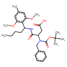 CCCCC(NC(=O)C(CC(=O)O)N(Cc1ccccc1)C(=O)OC(C)(C)C)c1c(OC)cc(C)cc1OC